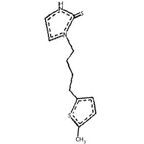 Cc1ccc(CCCCn2cc[nH]c2=S)s1